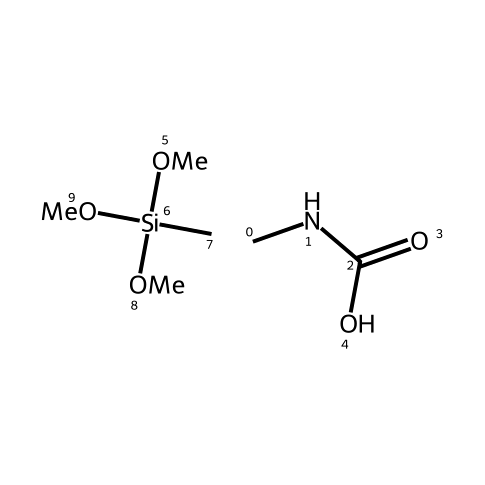 CNC(=O)O.CO[Si](C)(OC)OC